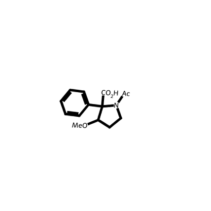 COC1CCN(C(C)=O)C1(C(=O)O)c1ccccc1